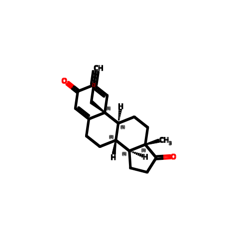 C#CC[C@]12C=CC(=O)C=C1CC[C@H]1[C@@H]3CCC(=O)[C@@]3(C)CC[C@@H]12